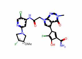 CO[C@H]1CN(c2cc(NC(=O)Cn3cc(C4C=C(C(N)=O)C(O)=C4F)c4c(=O)n(C)cnc43)c(Cl)cn2)C[C@H]1F